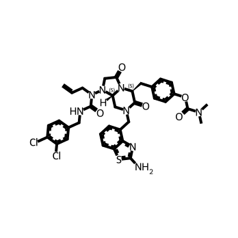 C=CCN(C(=O)NCc1ccc(Cl)c(Cl)c1)N1CC(=O)N2[C@@H](Cc3ccc(OC(=O)N(C)C)cc3)C(=O)N(Cc3cccc4sc(N)nc34)C[C@@H]21